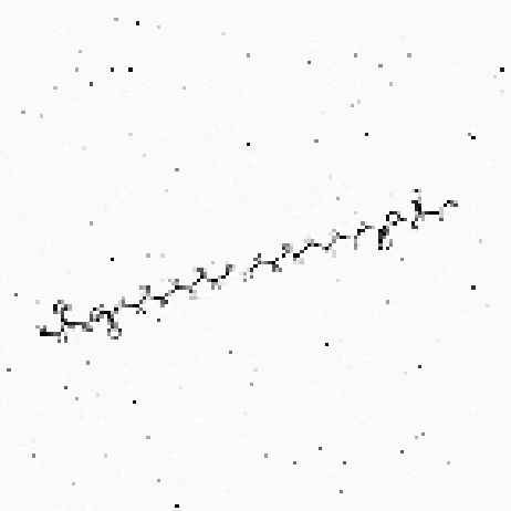 CCC(=O)COC(=O)CCCCCCCCCCCCCCCCCCCC(=O)OCC(=O)CC